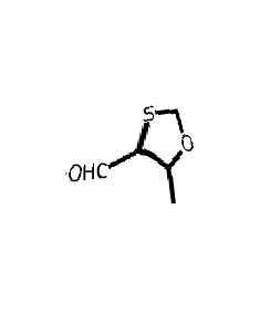 CC1OCSC1[C]=O